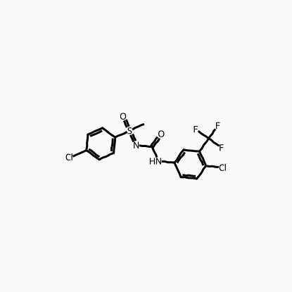 CS(=O)(=NC(=O)Nc1ccc(Cl)c(C(F)(F)F)c1)c1ccc(Cl)cc1